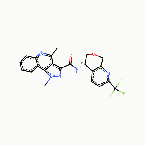 Cc1nc2ccccc2c2c1c(C(=O)N[C@@H]1COCc3nc(C(F)(F)F)ccc31)nn2C